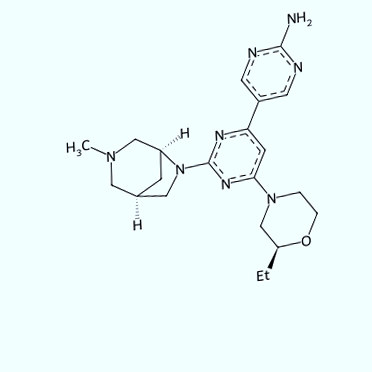 CC[C@H]1CN(c2cc(-c3cnc(N)nc3)nc(N3C[C@@H]4C[C@H]3CN(C)C4)n2)CCO1